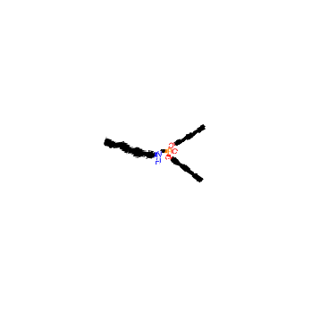 C#CC#CC#CC#CNCP(=O)(OC#CC#CC#C)OC#CC#CC#C